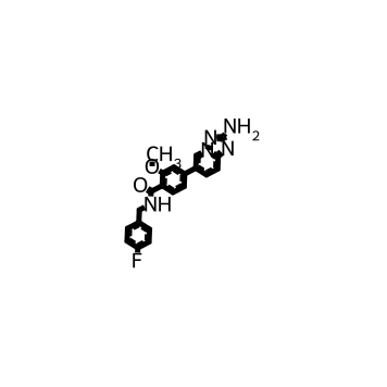 COc1cc(-c2ccc3nc(N)nn3c2)ccc1C(=O)NCc1ccc(F)cc1